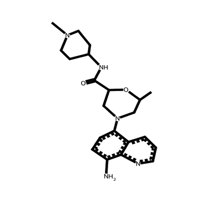 CC1CN(c2ccc(N)c3ncccc23)CC(C(=O)NC2CCN(C)CC2)O1